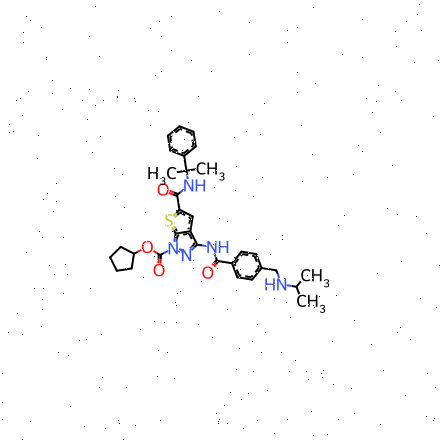 CC(C)NCc1ccc(C(=O)Nc2nn(C(=O)OC3CCCC3)c3sc(C(=O)NC(C)(C)c4ccccc4)cc23)cc1